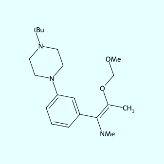 CN/C(=C(\C)OCOC)c1cccc(N2CCN(C(C)(C)C)CC2)c1